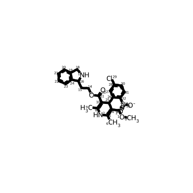 COC(=O)C1=C(C)NC(C)=C(C(=O)OCCC2NCc3ccccc32)C1c1cc(Cl)ccc1[N+](=O)[O-]